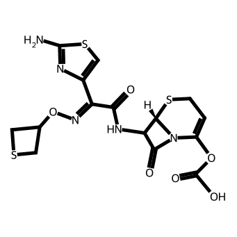 Nc1nc(C(=NOC2CSC2)C(=O)NC2C(=O)N3C(OC(=O)O)=CCS[C@@H]23)cs1